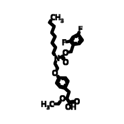 CCCCCCCCN(CCOc1ccc(CC(OCC)C(=O)O)cc1)C(=O)OCc1ccc(F)cc1F